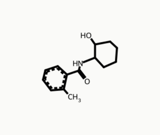 Cc1ccccc1C(=O)NC1CCCCC1O